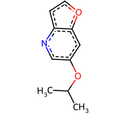 CC(C)Oc1cnc2ccoc2c1